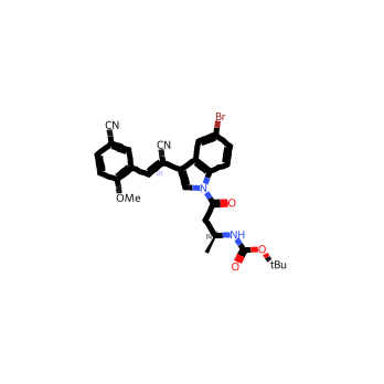 COc1ccc(C#N)cc1/C=C(\C#N)c1cn(C(=O)C[C@H](C)NC(=O)OC(C)(C)C)c2ccc(Br)cc12